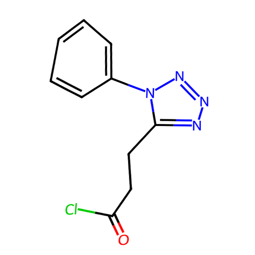 O=C(Cl)CCc1nnnn1-c1ccccc1